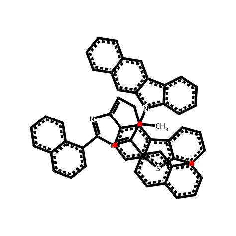 CC1C/C=C(c2ccc3sc4ccccc4c3c2-n2c3ccccc3c3cc4ccccc4cc32)/N=C(c2cccc3ccccc23)\N=C/1c1ccc2ccccc2c1